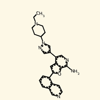 CCN1CCC(n2cc(-c3cnc(N)c4oc(-c5cccc6cnccc56)cc34)cn2)CC1